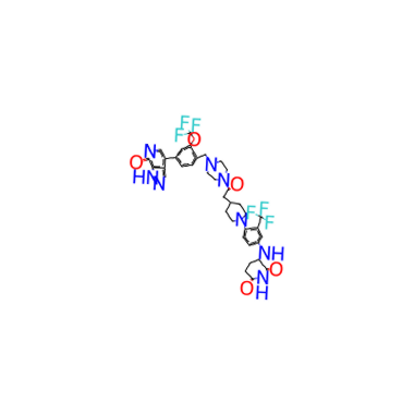 Cn1cc(-c2ccc(CN3CCN(C(=O)CC4CCN(c5ccc(NC6CCC(=O)NC6=O)cc5C(F)(F)F)CC4)CC3)c(OC(F)(F)F)c2)c2cn[nH]c2c1=O